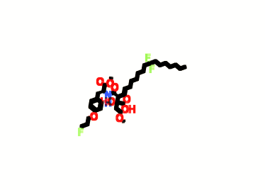 CCCCCCCC(F)(F)CCCCCC/C=C/[C@H](C(=O)N[C@@H](Cc1ccc(OCCCF)cc1)C(=O)OC)[C@@](O)(CCOC)C(=O)O